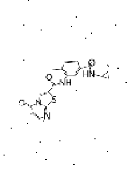 Cc1ccc(C(=O)NC2CC2)cc1NC(=O)c1cn2c(=O)ccnc2s1